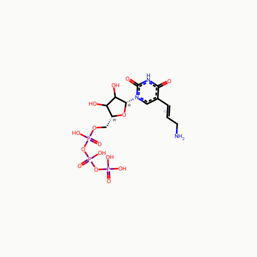 NC/C=C/c1cn([C@@H]2O[C@H](COP(=O)(O)OP(=O)(O)OP(=O)(O)O)C(O)C2O)c(=O)[nH]c1=O